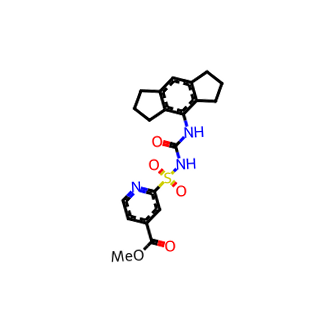 COC(=O)c1ccnc(S(=O)(=O)NC(=O)Nc2c3c(cc4c2CCC4)CCC3)c1